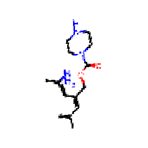 C=C(C)/C=C(\C=C(\C)N)COC(=O)N1CCNCC1